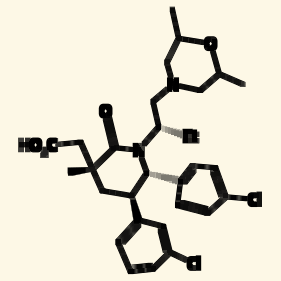 CC[C@@H](CN1CC(C)OC(C)C1)N1C(=O)[C@@](C)(CC(=O)O)C[C@H](c2cccc(Cl)c2)[C@H]1c1ccc(Cl)cc1